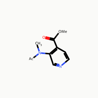 COC(=O)c1ccncc1N(C)C(C)=O